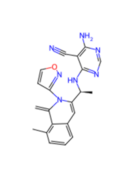 C=C1c2c(C)cccc2C=C([C@H](C)Nc2ncnc(N)c2C#N)N1c1ccon1